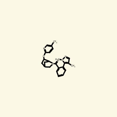 Cc1cnn(C)c1-c1ccccc1C(=O)N1CC2CC(Oc3ccc(C(F)(F)F)cn3)C1C2